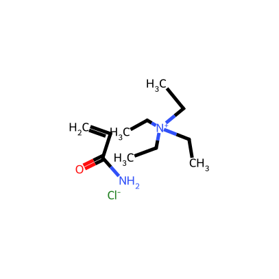 C=CC(N)=O.CC[N+](CC)(CC)CC.[Cl-]